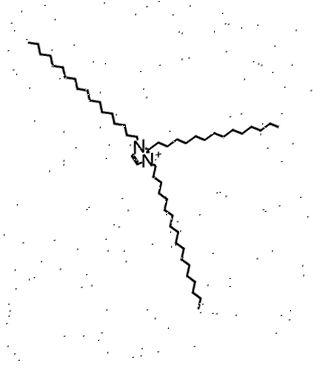 CCCCCCCCCCCCCCCCCCn1cc[n+](CCCCCCCCCCCCCCCCCC)c1CCCCCCCCCCCCCC